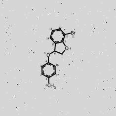 Cc1ccc(OC2COc3c(Br)cccc32)cc1